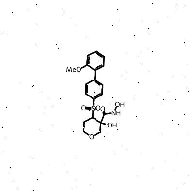 COc1ccccc1-c1ccc(S(=O)(=O)C2CCOCC2(O)C(=O)NO)cc1